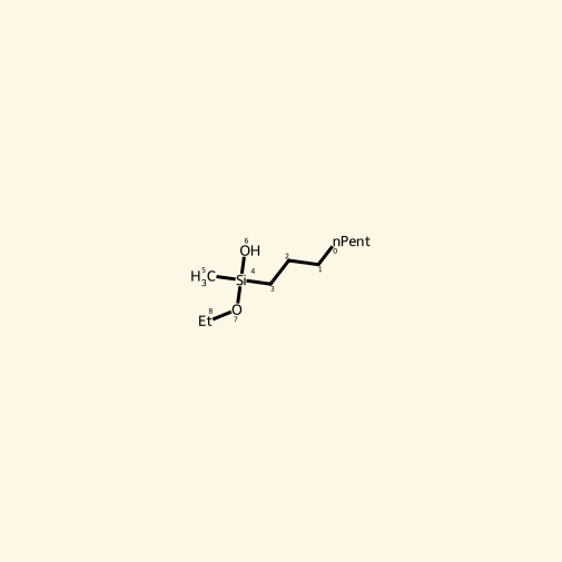 CCCCCCCC[Si](C)(O)OCC